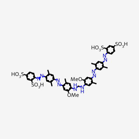 COc1cc(N=Nc2cc(C)c(N=Nc3ccc(S(=O)(=O)O)cc3S(=O)(=O)O)cc2C)c(C)cc1NCNc1cc(C)c(N=Nc2cc(C)c(N=Nc3ccc(S(=O)(=O)O)cc3S(=O)(=O)O)cc2C)cc1OC